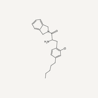 CCCCCc1ccc(CC(N)C(=O)N2Cc3ccccc3C2)c(Cl)c1